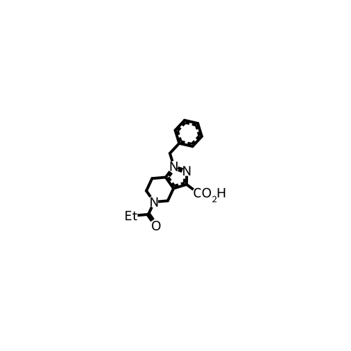 CCC(=O)N1CCc2c(c(C(=O)O)nn2Cc2ccccc2)C1